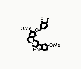 COc1ccc2[nH]c3c(c2c1)CC1c2cc(OCc4ccc(F)c(F)c4)c(OC)cc2CCN1C3